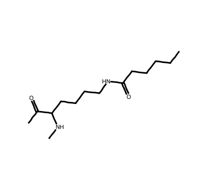 CCCCCC(=O)NCCCCC(NC)C(C)=O